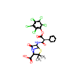 CC1(C)SC2C(NC(=O)C(C(=O)Oc3c(Cl)c(Cl)c(Cl)c(Cl)c3Cl)c3ccccc3)C(=O)N2C1C(=O)O